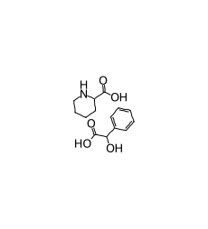 O=C(O)C(O)c1ccccc1.O=C(O)C1CCCCN1